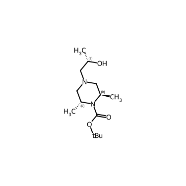 C[C@H](O)CN1C[C@@H](C)N(C(=O)OC(C)(C)C)[C@H](C)C1